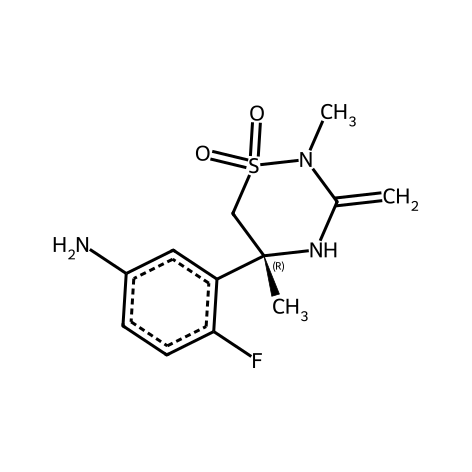 C=C1N[C@](C)(c2cc(N)ccc2F)CS(=O)(=O)N1C